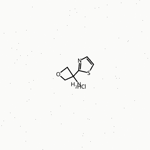 Cl.NC1(c2nccs2)COC1